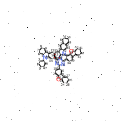 c1ccc(-n2c3ccccc3c3ccc(-c4nc(-c5ccc6oc7ccccc7c6c5)nc(-c5ccc6c(oc7ccccc76)c5-n5c6ccccc6c6cc7ccccc7cc65)n4)cc32)cc1